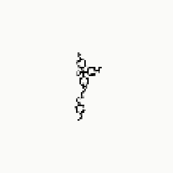 CCc1ccc(OCCCN2CCC(C(O)(c3ccc(F)cc3)c3ccc(F)cc3)CC2)cc1